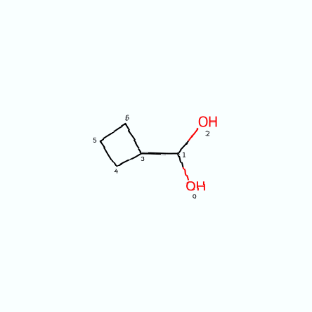 OC(O)C1CCC1